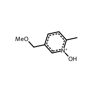 COCc1ccc(C)[n+](O)c1